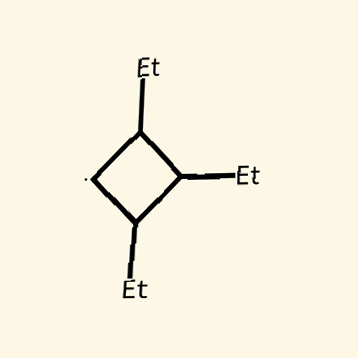 CCC1[CH]C(CC)C1CC